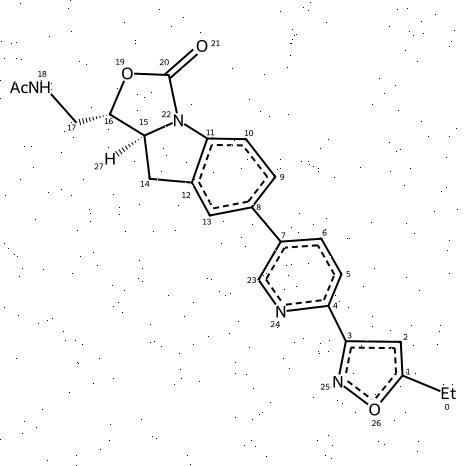 CCc1cc(-c2ccc(-c3ccc4c(c3)C[C@H]3[C@H](CNC(C)=O)OC(=O)N43)cn2)no1